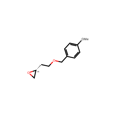 COc1ccc(COCC[C@@H]2CO2)cc1